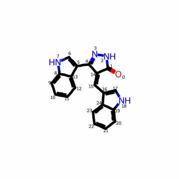 O=C1NN=C(c2c[nH]c3ccccc23)C1=Cc1c[nH]c2ccccc12